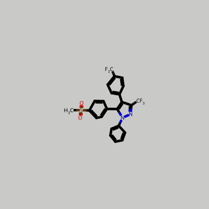 CS(=O)(=O)c1ccc(-c2c(-c3ccc(C(F)(F)F)cc3)c(C(F)(F)F)nn2-c2ccccc2)cc1